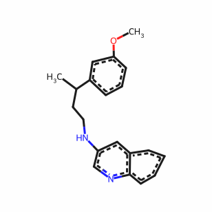 COc1cccc(C(C)CCNc2cnc3ccccc3c2)c1